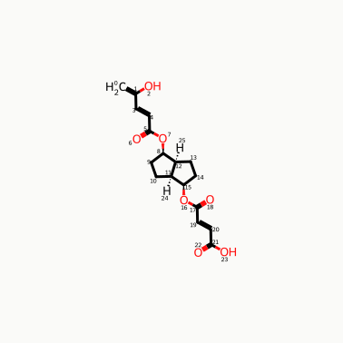 C=C(O)C=CC(=O)O[C@@H]1CC[C@H]2[C@@H]1CC[C@H]2OC(=O)C=CC(=O)O